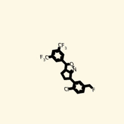 FCc1ccc(Cl)c(C2CCC3C2=NOC3c2cc(C(F)(F)F)cc(C(F)(F)F)c2)c1